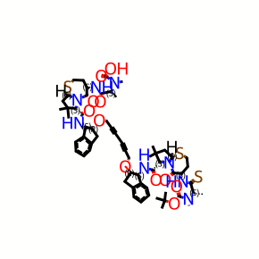 C[C@@H](C(=O)N[C@H]1CCS[C@H]2CC(C)(C)[C@@H](C(=O)N[C@H]3c4ccccc4C[C@H]3OCC#CC#CCO[C@@H]3Cc4ccccc4[C@@H]3NC(=O)[C@H]3N4C(=O)[C@@H](NC(=S)[C@H](C)N(C)C(=O)OC(C)(C)C)CCS[C@H]4CC3(C)C)N2C1=O)N(C)C(=O)O